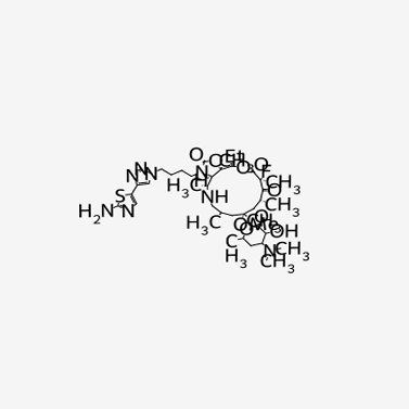 CC[C@H]1OC(=O)[C@@](C)(F)C(=O)[C@H](C)[C@@H](O[C@@H]2OC(C)CC(N(C)C)C2O)[C@](C)(OC)C[C@@H](C)CN[C@H](C)[C@H]2N(CCCCn3cc(-c4cnc(N)s4)nn3)C(=O)O[C@]12C